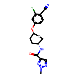 Cn1ncc(C(=O)N[C@H]2CC[C@H](Oc3ccc(C#N)c(Cl)c3)CC2)n1